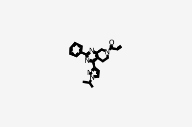 C=CC(=O)N1CCc2c(nc(-c3ccccc3)nc2-c2ccn(C(C)C)n2)C1